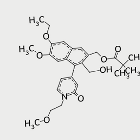 CCOc1cc2cc(COC(=O)C(C)(C)C)c(CO)c(-c3ccn(CCOC)c(=O)c3)c2cc1OC